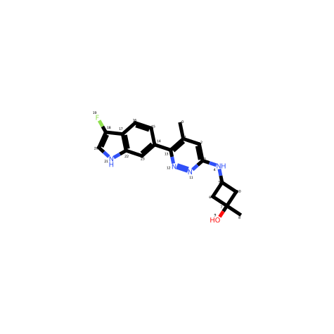 Cc1cc(NC2CC(C)(O)C2)nnc1-c1ccc2c(F)c[nH]c2c1